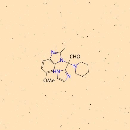 COc1ccc2nc(C)n(C(C=O)(c3ncc[nH]3)N3CCCCC3)c2c1